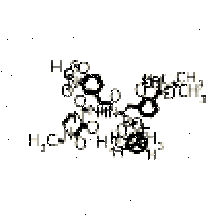 CCN1CCN(C(=O)NC(C(=O)N[C@@H](Cc2cccc(C(=O)OC(C)(C)C)c2OC)B2O[C@@H]3C[C@@H]4C[C@@H](C4(C)C)[C@]3(C)O2)c2ccc(OC)c([N+](=O)[O-])c2)C(=O)C1=O